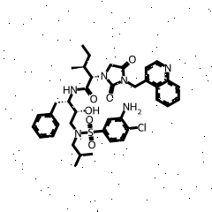 CC[C@H](C)[C@@H](C(=O)N[C@@H](Cc1ccccc1)[C@H](O)CN(CC(C)C)S(=O)(=O)c1ccc(Cl)c(N)c1)N1CC(=O)N(Cc2ccnc3ccccc23)C1=O